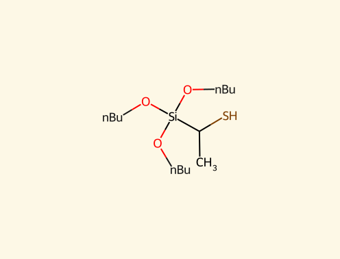 CCCCO[Si](OCCCC)(OCCCC)C(C)S